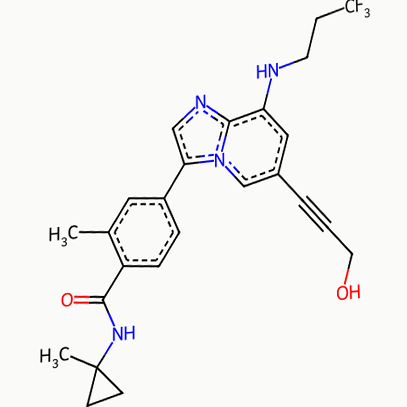 Cc1cc(-c2cnc3c(NCCC(F)(F)F)cc(C#CCO)cn23)ccc1C(=O)NC1(C)CC1